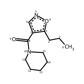 CCCc1oncc1C(=O)N1CCCCC1